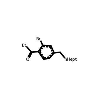 CCCCCCCCc1ccc(C(=O)CC)c(Br)c1